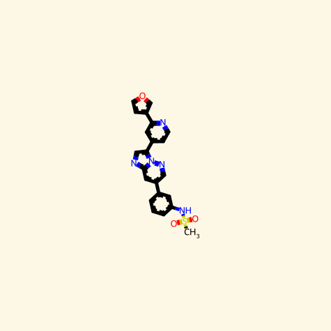 CS(=O)(=O)Nc1cccc(-c2cnn3c(-c4ccnc(-c5ccoc5)c4)cnc3c2)c1